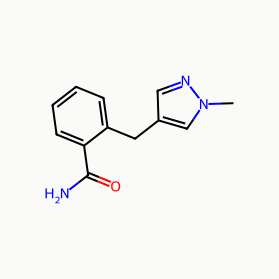 Cn1cc(Cc2ccccc2C(N)=O)cn1